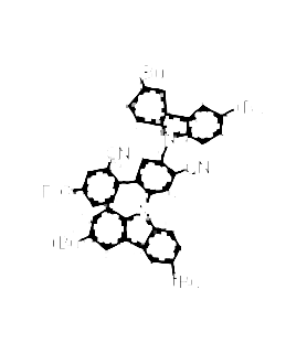 CC(C)(C)c1ccc2c(c1)c1cc(C(C)(C)C)ccc1n2-c1cc(-c2ccc(C(F)(F)F)cc2C#N)c(-n2c3ccc(C(C)(C)C)cc3c3cc(C(C)(C)C)ccc32)cc1C#N